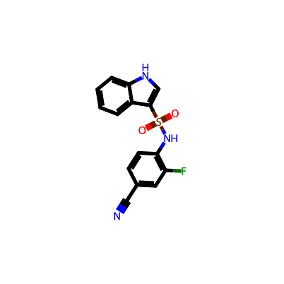 N#Cc1ccc(NS(=O)(=O)c2c[nH]c3ccccc23)c(F)c1